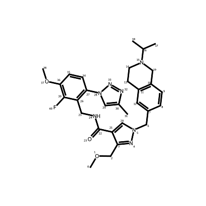 COCc1nn(Cc2ccc3c(c2)CCN(C(C)C)C3)cc1C(=O)NCc1c(-n2cc(C)nn2)ccc(OC)c1F